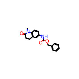 CN1C(=O)CCc2cc(NC(=O)OCc3ccccc3)ccc21